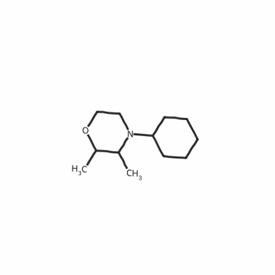 CC1OCCN(C2CCCCC2)C1C